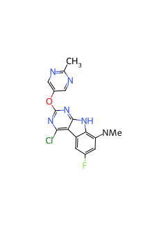 CNc1cc(F)cc2c1[nH]c1nc(Oc3cnc(C)nc3)nc(Cl)c12